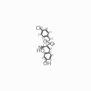 N#CC(=Cc1ccc(O)cc1O)S(=O)(=O)Cc1ccc(Cl)cc1